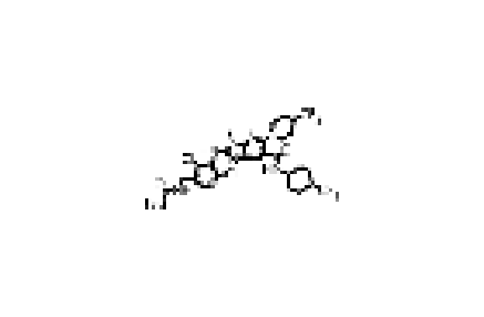 Cn1c(Nc2c(Cl)ccc(CNC(=O)C(C)(C)C)c2Cl)nc2cc(C(=O)NC3CCC(C(F)(F)F)CC3)c(N3CCC(C(F)(F)F)CC3)nc21